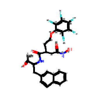 CNC(=O)C(Cc1ccc2ccccc2c1)NC(=O)C(CCOc1c(F)c(F)c(F)c(F)c1F)CC(=O)NO